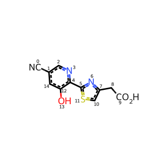 N#Cc1cnc(-c2nc(CC(=O)O)cs2)c(O)c1